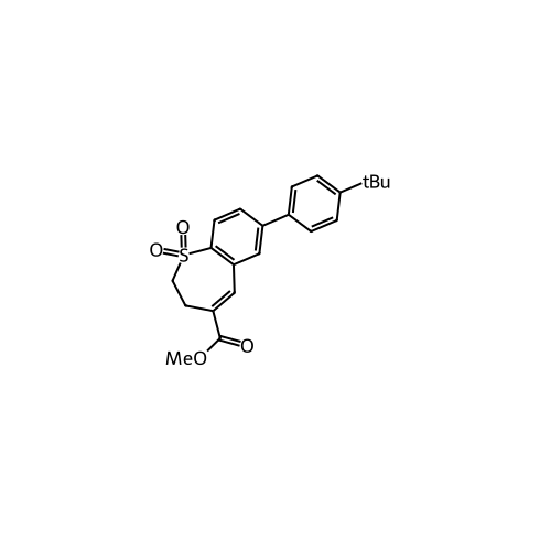 COC(=O)C1=Cc2cc(-c3ccc(C(C)(C)C)cc3)ccc2S(=O)(=O)CC1